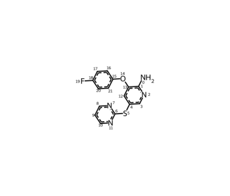 Nc1ncc(Sc2ncccn2)cc1Oc1ccc(F)cc1